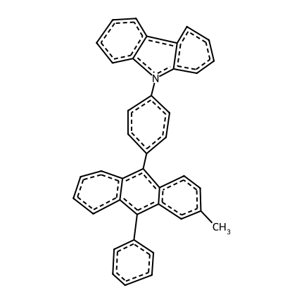 Cc1ccc2c(-c3ccc(-n4c5ccccc5c5ccccc54)cc3)c3ccccc3c(-c3ccccc3)c2c1